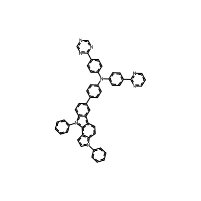 c1ccc(-n2ccc3c2ccc2c4cc(-c5ccc(N(c6ccc(-c7ncccn7)cc6)c6ccc(-c7ncncn7)cc6)cc5)ccc4n(-c4ccccc4)c23)cc1